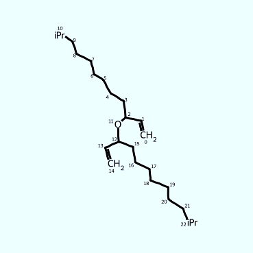 C=CC(CCCCCCCC(C)C)OC(C=C)CCCCCCCC(C)C